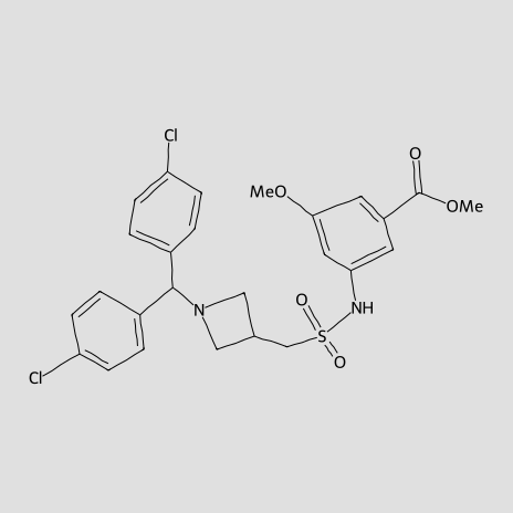 COC(=O)c1cc(NS(=O)(=O)CC2CN(C(c3ccc(Cl)cc3)c3ccc(Cl)cc3)C2)cc(OC)c1